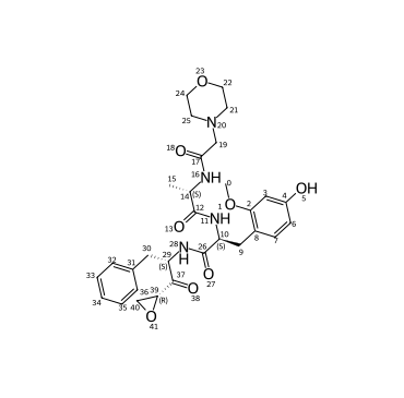 COc1cc(O)ccc1C[C@H](NC(=O)[C@H](C)NC(=O)CN1CCOCC1)C(=O)N[C@@H](Cc1ccccc1)C(=O)[C@H]1CO1